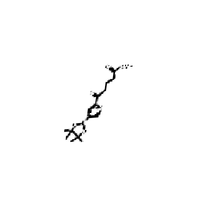 COC(=O)CCCC(=O)c1cc(B2OC(C)(C)C(C)(C)O2)cs1